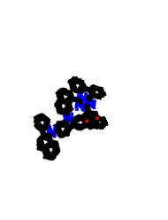 c1ccc(-c2ccccc2-c2nc(-c3ccc4ccccc4c3)nc(-c3cccc4ccc(-n5c6cc(-n7c8ccccc8c8ccc9ccccc9c87)ccc6c6cc7ccccc7cc65)cc34)n2)cc1